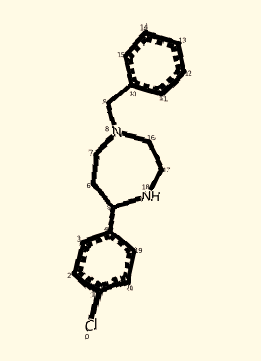 Clc1ccc(C2CCN(Cc3ccccc3)CCN2)cc1